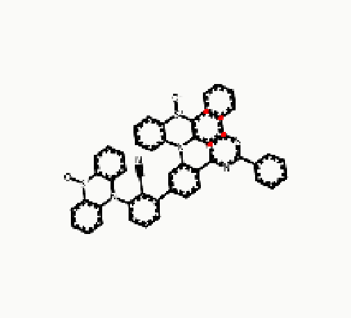 N#Cc1c(-c2ccc(-c3nc(-c4ccccc4)nc(-c4ccccc4)n3)c(N3c4ccccc4[S+]([O-])c4ccccc43)c2)cccc1N1c2ccccc2[S+]([O-])c2ccccc21